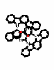 c1ccc(-c2nc(-n3c4ccccc4c4ccc5c6ccccc6n(-c6ccccc6)c5c43)nc(-n3c4ccccc4c4ccc5c6ccccc6n(-c6ccccc6)c5c43)n2)cc1